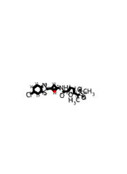 C[C@@H](c1ccc(C(=O)NC23CC(c4nc5ccc(Cl)cc5s4)(C2)C3)o1)S(C)(=O)=O